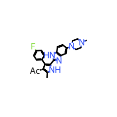 CC(=O)c1c(C)[nH]c(-c2nc3cc(N4CCN(C)CC4)ccc3[nH]2)c1-c1ccc(F)cc1